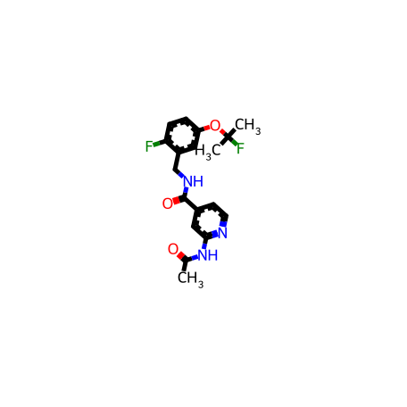 CC(=O)Nc1cc(C(=O)NCc2cc(OC(C)(C)F)ccc2F)ccn1